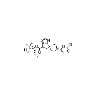 CC(C)(C)OC(=O)NCC1(c2cscn2)CCN(C(=O)OC(Cl)Cl)CC1